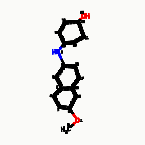 COc1ccc2cc(Nc3ccc(O)cc3)ccc2c1